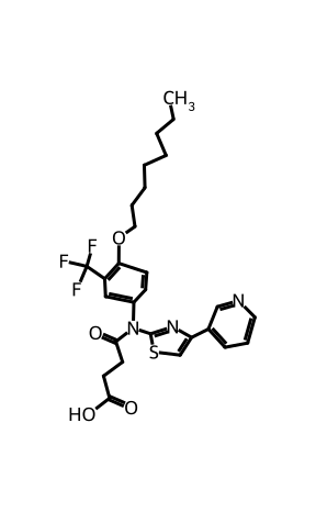 CCCCCCCCOc1ccc(N(C(=O)CCC(=O)O)c2nc(-c3cccnc3)cs2)cc1C(F)(F)F